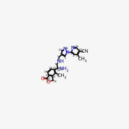 Cc1cc(-n2cc(CNC[C@H](N)c3ccc4c(c3C)COC4=O)cn2)ncc1C#N